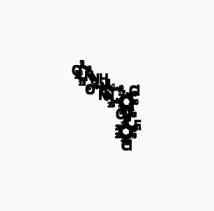 Cc1cc(C(=O)NN2CCOCC2)nn1Cc1cc(Cl)cc2cc(-c3ccc(Cl)cc3F)oc12